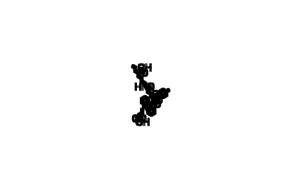 CCCC(CCCCNC(=O)CCCN(C(=O)c1c2ccccc2[n+](CCCS(=O)(=O)O)c2ccccc12)S(=O)(=O)c1ccc(C)cc1)C(=O)O